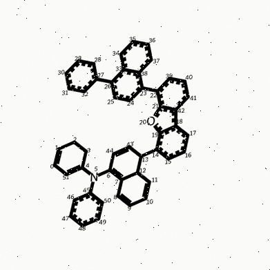 C1=CCCC(N(C2=C3C=CC=CC3C(c3cccc4c3oc3c(-c5ccc(-c6ccccc6)c6ccccc56)cccc34)C=C2)c2ccccc2)=C1